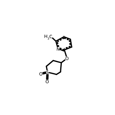 Cc1[c]ccc(OC2CCS(=O)(=O)CC2)n1